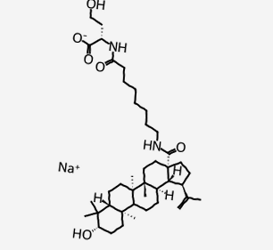 C=C(C)[C@@H]1CC[C@]2(C(=O)NCCCCCCCC(=O)N[C@@H](CCO)C(=O)[O-])CC[C@]3(C)[C@H](CCC4[C@@]5(C)CC[C@H](O)C(C)(C)[C@@H]5CC[C@]43C)[C@@H]12.[Na+]